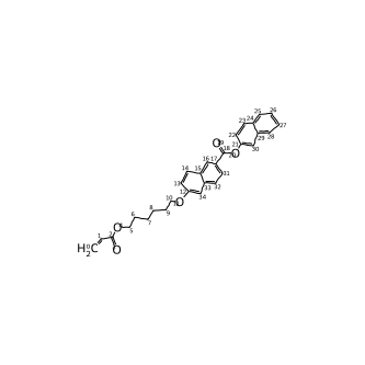 C=CC(=O)OCCCCCCOc1ccc2cc(C(=O)Oc3ccc4ccccc4c3)ccc2c1